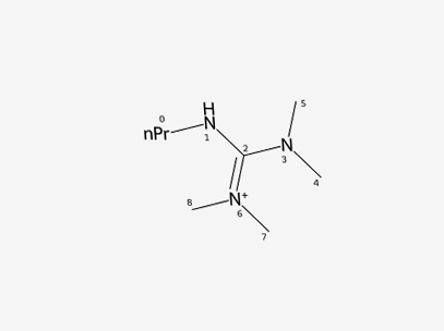 CCCNC(N(C)C)=[N+](C)C